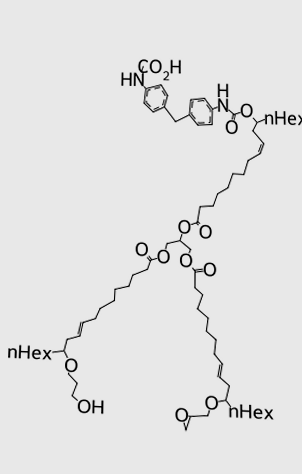 CCCCCCC(C/C=C/CCCCCCCC(=O)OCC(COC(=O)CCCCCCC/C=C/CC(CCCCCC)OCC1CO1)OC(=O)CCCCCCC/C=C\CC(CCCCCC)OC(=O)Nc1ccc(Cc2ccc(NC(=O)O)cc2)cc1)OCCCO